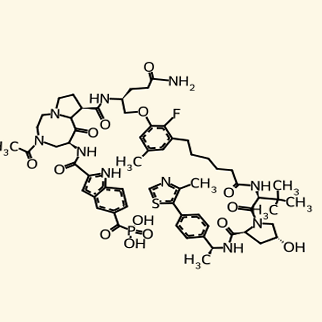 CC(=O)N1CCN2CC[C@@H](C(=O)N[C@@H](CCC(N)=O)COc3cc(C)cc(CCCCCC(=O)N[C@H](C(=O)N4C[C@H](O)C[C@H]4C(=O)N[C@@H](C)c4ccc(-c5scnc5C)cc4)C(C)(C)C)c3F)C2C(=O)[C@@H](NC(=O)c2cc3cc(C(=O)P(=O)(O)O)ccc3[nH]2)C1